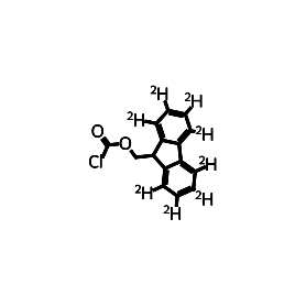 [2H]c1c([2H])c([2H])c2c(c1[2H])-c1c([2H])c([2H])c([2H])c([2H])c1C2COC(=O)Cl